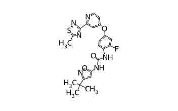 Cc1nc(-c2cc(Oc3ccc(NC(=O)Nc4cc(C(C)(C)C)no4)c(F)c3)ccn2)ns1